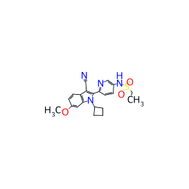 CCS(=O)(=O)Nc1ccc(-c2c(C#N)c3ccc(OC)cc3n2C2CCC2)nc1